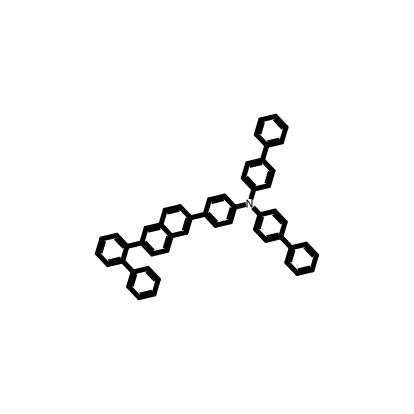 c1ccc(-c2ccc(N(c3ccc(-c4ccccc4)cc3)c3ccc(-c4ccc5cc(-c6ccccc6-c6ccccc6)ccc5c4)cc3)cc2)cc1